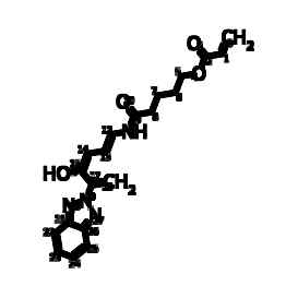 C=CC(=O)OCCCCC(=O)N/C=C/C=C(/O)C(=C)n1nc2ccccc2n1